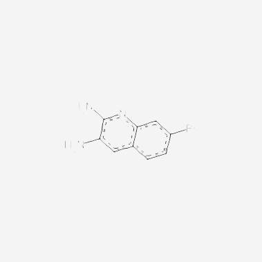 Nc1cc2ccc(Br)cc2nc1N